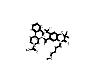 CCN(C(=O)c1cc2c(cc1C(F)(F)F)OC(C)(C)C(=O)N2CCCCOC)[C@H]1CN(C(=O)O)CC[C@H]1c1ccccc1